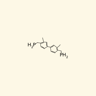 Cc1cc(-c2ccc(CP)c(C)c2)ccc1CP